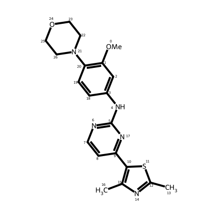 COc1cc(Nc2nccc(-c3sc(C)nc3C)n2)ccc1N1CCOCC1